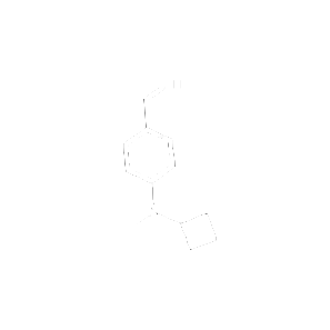 C=Cc1ccc(N(C)C2CCC2)cc1